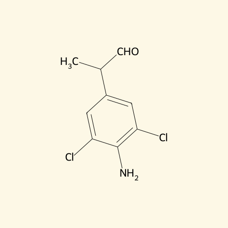 CC(C=O)c1cc(Cl)c(N)c(Cl)c1